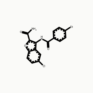 CCc1ccc(C(=O)Nc2c(C(N)=O)oc3ccc(Cl)cc23)cc1